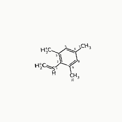 C=[SH]c1c(C)cc(C)cc1C